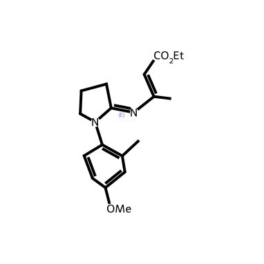 CCOC(=O)C=C(C)/N=C1\CCCN1c1ccc(OC)cc1C